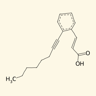 CCCCCCC#Cc1ccccc1/C=C/C(=O)O